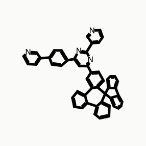 c1cncc(-c2ccc(-c3cc(-c4ccc5c(c4)-c4ccccc4-c4ccccc4C54c5ccccc5-c5ccccc54)nc(-c4cccnc4)n3)cc2)c1